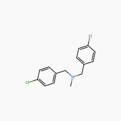 CN(Cc1ccc(Cl)cc1)Cc1ccc(Cl)cc1